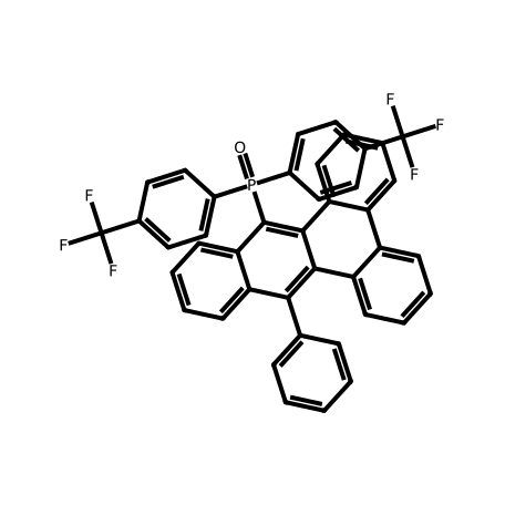 O=P(c1ccc(C(F)(F)F)cc1)(c1ccc(C(F)(F)F)cc1)c1c2ccccc2c(-c2ccccc2)c2c3ccccc3c3ccccc3c12